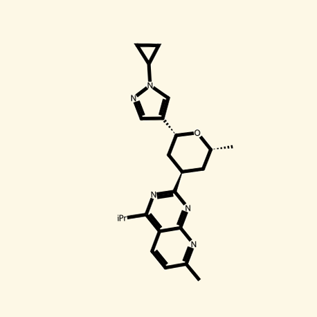 Cc1ccc2c(C(C)C)nc([C@@H]3C[C@@H](C)O[C@@H](c4cnn(C5CC5)c4)C3)nc2n1